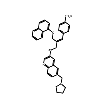 O=C(O)c1ccc(/C=C(/CNc2cnc3ccc(CN4CCCC4)cc3c2)COc2cccc3ccccc23)cc1